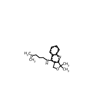 CN(C)CCCNc1c2c(nc3ccccc13)C(C)(C)OC2